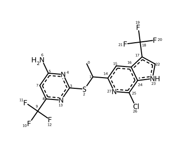 CC(Sc1nc(N)cc(C(F)(F)F)n1)c1cc2c(C(F)(F)F)c[nH]c2c(Cl)n1